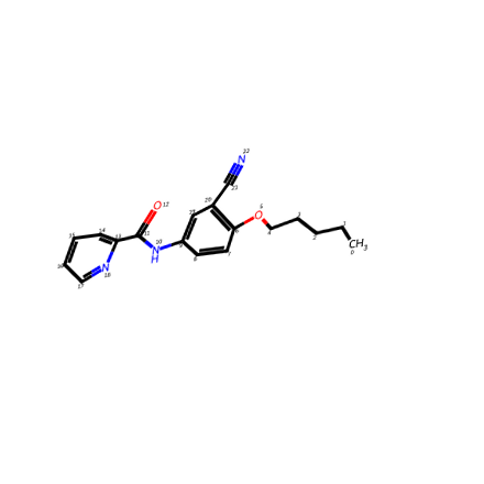 CCCCCOc1ccc(NC(=O)c2ccccn2)cc1C#N